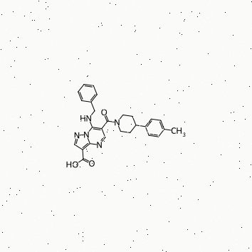 Cc1ccc(C2CCN(C(=O)c3cnc4c(C(=O)O)cnn4c3NCc3ccccc3)CC2)cc1